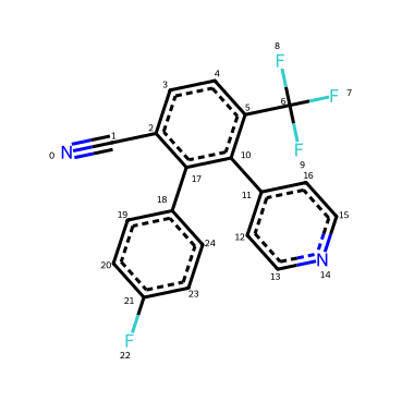 N#Cc1ccc(C(F)(F)F)c(-c2ccncc2)c1-c1ccc(F)cc1